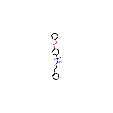 CC(C)(NCCCc1ccccc1)c1ccc(OCc2ccccc2)cc1